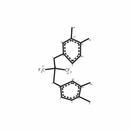 Cc1ccc(CC(Cc2ccc(C)c(C)c2)(C(F)(F)F)C(F)(F)F)cc1C